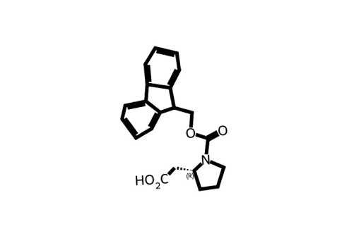 O=C(O)C[C@H]1CCCN1C(=O)OCC1c2ccccc2-c2ccccc21